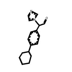 O=CC(c1ccc(C2CCCCC2)cc1)n1ccnc1